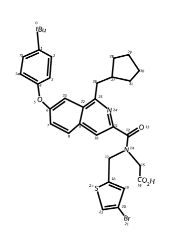 CC(C)(C)c1ccc(Oc2ccc3cc(C(=O)N(CC(=O)O)Cc4cc(Br)cs4)nc(CC4CCCC4)c3c2)cc1